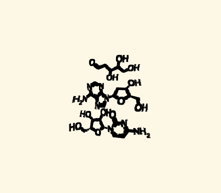 Nc1ccn([C@@H]2O[C@H](CO)[C@@H](O)[C@H]2O)c(=O)n1.Nc1ncnc2c1ncn2[C@H]1C[C@H](O)[C@@H](CO)O1.O=CCC(O)C(O)CO